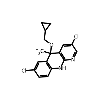 FC(F)(F)C1(OCC2CC2)c2cc(Cl)ccc2Nc2ncc(Cl)cc21